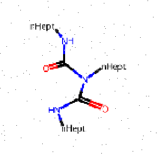 CCCCCCCNC(=O)N(CCCCCCC)C(=O)NCCCCCCC